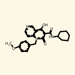 COc1ccc(Cn2c(=O)c(C(=O)NC3CCCCC3)c(O)c3cnccc32)cc1